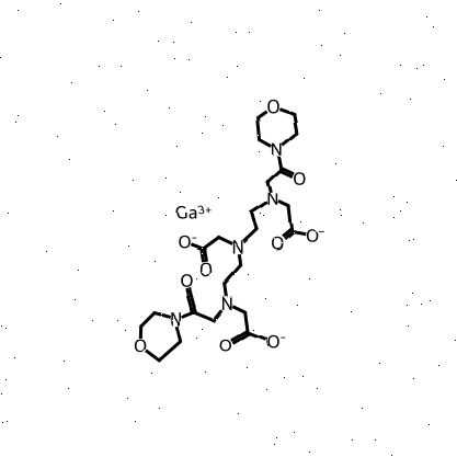 O=C([O-])CN(CCN(CC(=O)[O-])CC(=O)N1CCOCC1)CCN(CC(=O)[O-])CC(=O)N1CCOCC1.[Ga+3]